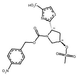 CS(=O)(=O)O[C@@H]1C[C@@H](c2nc(C(=O)O)cs2)N(C(=O)OCc2ccc([N+](=O)[O-])cc2)C1